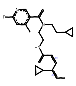 C=C(/C=C\C(=C/C)C1CC1)NCCN(CCC1CC1)C(=C)c1cnc(F)cc1C